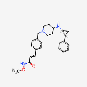 CONC(=O)C=Cc1ccc(CN2CCC(N[C@@H]3C[C@H]3c3ccccc3)CC2)cc1